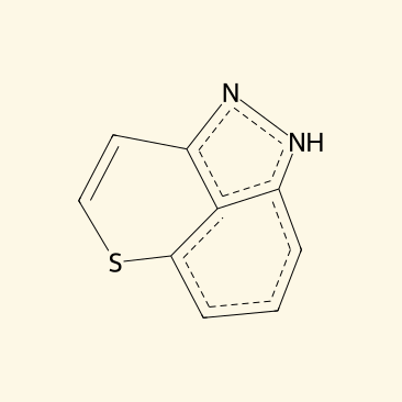 C1=Cc2n[nH]c3cccc(c23)S1